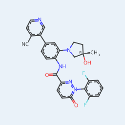 C[C@]1(O)CCN(c2cc(-c3cnccc3C#N)ccc2NC(=O)c2ccc(=O)n(-c3c(F)cccc3F)n2)C1